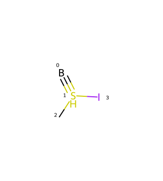 B#[SH](C)I